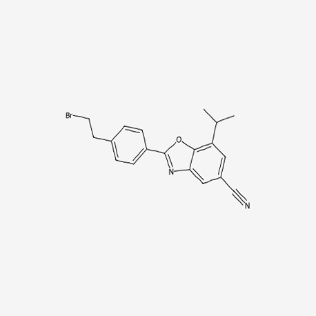 CC(C)c1cc(C#N)cc2nc(-c3ccc(CCBr)cc3)oc12